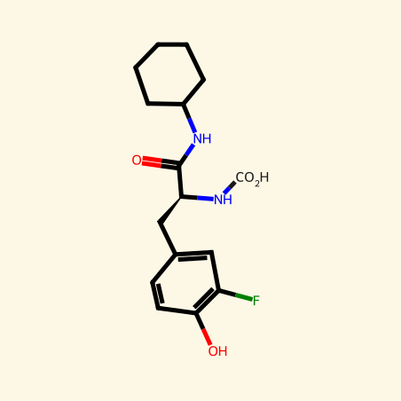 O=C(O)N[C@@H](Cc1ccc(O)c(F)c1)C(=O)NC1CCCCC1